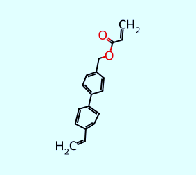 C=CC(=O)OCc1ccc(-c2ccc(C=C)cc2)cc1